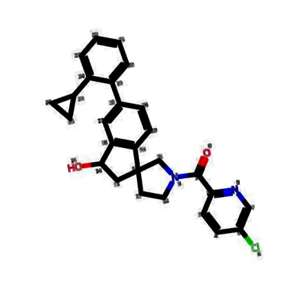 O=C(c1ccc(Cl)cn1)N1CCC2(CC(O)c3cc(-c4ccccc4C4CC4)ccc32)C1